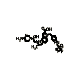 CC(Cc1ccc2c(c1)cc(C(=O)O)n2Cc1ccc(NCS(=O)(=O)C(F)(F)F)cc1)NCC(O)N1C=NC(N)=CC1